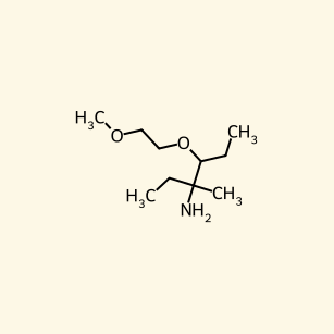 CCC(OCCOC)C(C)(N)CC